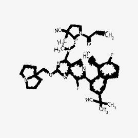 C#Cc1c(F)ccc2cc(C(C)(C)C#N)cc(-c3ncc4c(N(C)C[C@H]5N(C(=O)C=C)CCC5(C)C#N)nc(OCC56CCCN5CCC6)nc4c3F)c12